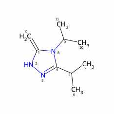 C=C1NN=C(C(C)C)N1C(C)C